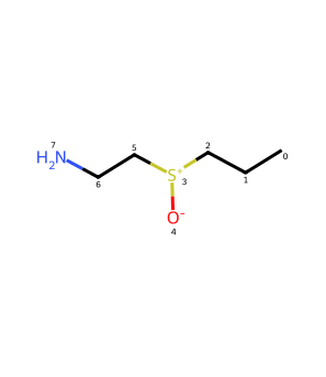 CCC[S+]([O-])CCN